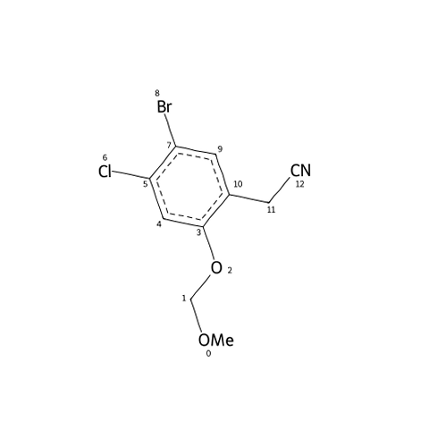 COCOc1cc(Cl)c(Br)cc1CC#N